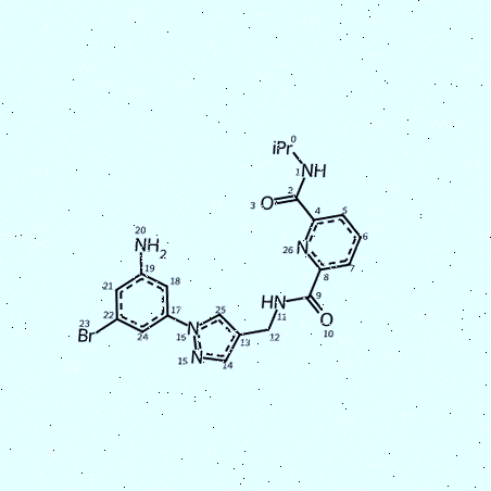 CC(C)NC(=O)c1cccc(C(=O)NCc2cnn(-c3cc(N)cc(Br)c3)c2)n1